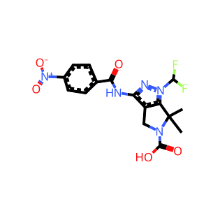 CC1(C)c2c(c(NC(=O)c3ccc([N+](=O)[O-])cc3)nn2C(F)F)CN1C(=O)O